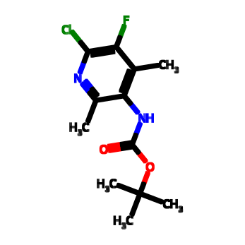 Cc1nc(Cl)c(F)c(C)c1NC(=O)OC(C)(C)C